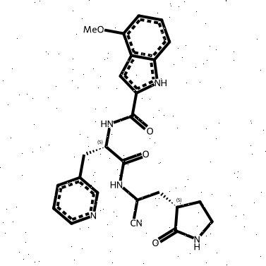 COc1cccc2[nH]c(C(=O)N[C@@H](Cc3cccnc3)C(=O)NC(C#N)C[C@@H]3CCNC3=O)cc12